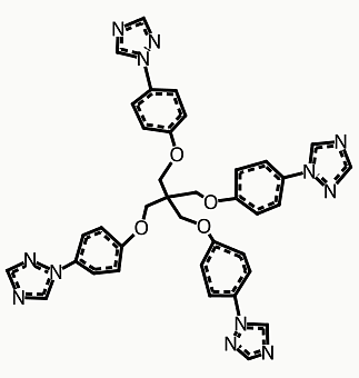 c1ncn(-c2ccc(OCC(COc3ccc(-n4cncn4)cc3)(COc3ccc(-n4cncn4)cc3)COc3ccc(-n4cncn4)cc3)cc2)n1